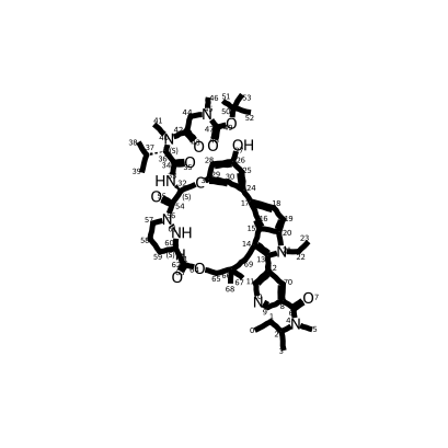 CCC(C)N(C)C(=O)c1cncc(-c2c3c4cc(ccc4n2CC)-c2cc(O)cc(c2)C[C@H](NC(=O)[C@H](C(C)C)N(C)C(=O)CN(C)C(=O)OC(C)(C)C)C(=O)N2CCC[C@H](N2)C(=O)OCC(C)(C)C3)c1